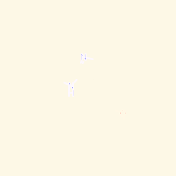 COc1cccc(-c2ccn[c]c2NC(C)C)c1